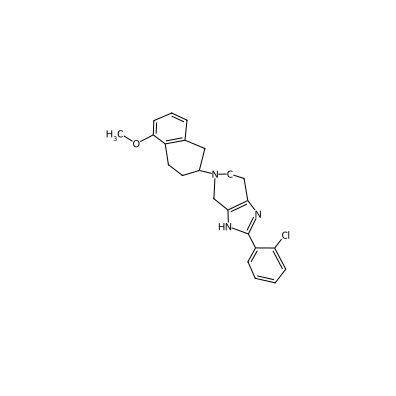 COc1cccc2c1CCC(N1CCc3nc(-c4ccccc4Cl)[nH]c3C1)C2